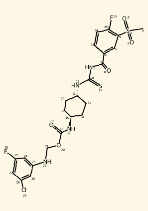 CS(=O)(=O)c1cc(C(=O)NC(=S)N[C@H]2CC[C@H](NC(=O)OCNc3cc(F)cc(Cl)c3)CC2)ccc1F